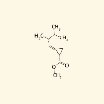 COC(=O)C1CC1=CC(C)C(C)C